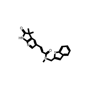 CN(Cc1cc2ccccc2s1)C(=O)/C=C/c1cnc2c(c1)C(C)(C)C(=O)N2